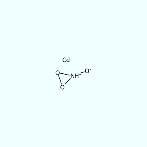 [Cd].[O-][NH+]1OO1